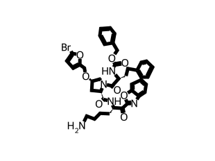 NCCCC[C@H](NC(=O)[C@@H]1C[C@@H](OCc2ccc(Br)o2)CN1C(=O)[C@@H](CCc1ccccc1)NC(=O)OCc1ccccc1)C(=O)c1nc2ccccc2o1